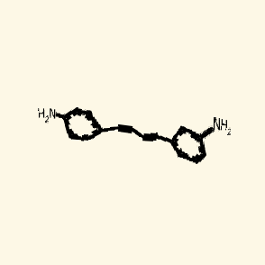 Nc1ccc(C#CC#Cc2cccc(N)c2)cc1